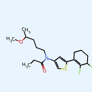 CCC(=O)N(CCCC(C)OC)c1csc(C2=C(F)C(F)CCC2)c1